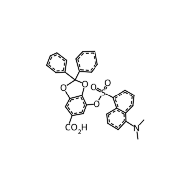 CN(C)c1cccc2c(S(=O)(=O)Oc3cc(C(=O)O)cc4c3OC(c3ccccc3)(c3ccccc3)O4)cccc12